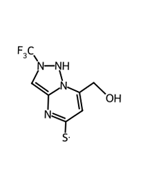 OCC1=CC([S])=NC2=CN(C(F)(F)F)NN12